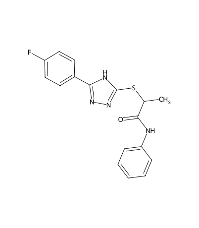 CC(Sc1nnc(-c2ccc(F)cc2)[nH]1)C(=O)Nc1ccccc1